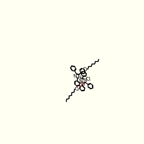 CCCCCCCCOc1ccc(-c2nc(-c3ccccc3)c(-c3ccccc3)n2C2(c3ccc(OCCCCCCCC)cc3Cl)N=C(c3ccccc3)C(c3ccccc3)=N2)c(Cl)c1